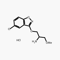 COCC(N)COc1noc2ccc(Cl)cc12.Cl